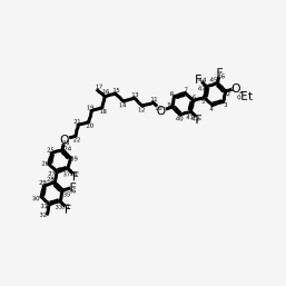 CCOc1ccc(-c2ccc(OCCCCCC(C)CCCCCOc3ccc(-c4ccc(C)c(F)c4F)c(F)c3)cc2F)c(F)c1F